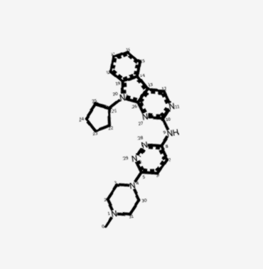 CN1CCN(c2ccc(Nc3ncc4c5ccccc5n(C5CCCC5)c4n3)nn2)CC1